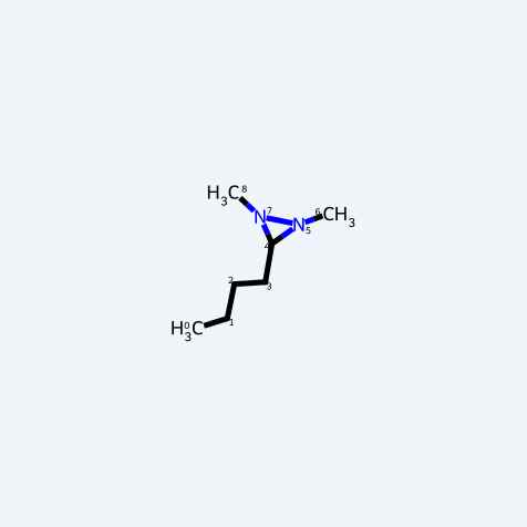 CCCCC1N(C)N1C